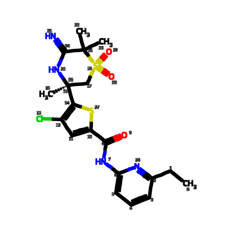 CCc1cccc(NC(=O)c2cc(Cl)c([C@]3(C)CS(=O)(=O)C(C)(C)C(=N)N3)s2)n1